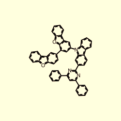 c1ccc(-c2cc(-c3ccccc3)nc(-c3ccc4c5ccccc5n(-c5cc(-c6ccc7oc8ccccc8c7c6)c6oc7ccccc7c6c5)c4c3)n2)cc1